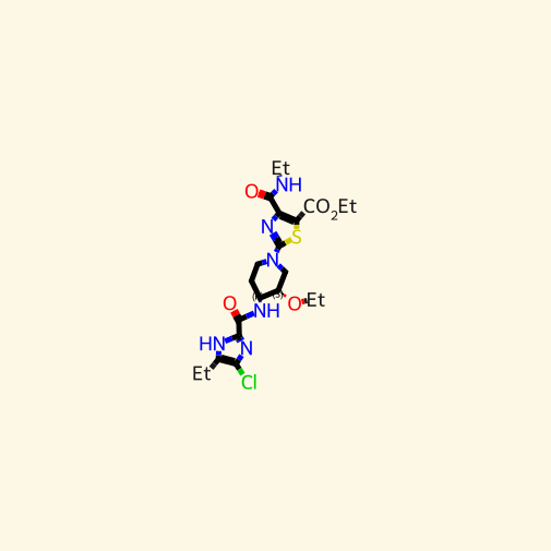 CCNC(=O)c1nc(N2CC[C@@H](NC(=O)c3nc(Cl)c(CC)[nH]3)[C@@H](OCC)C2)sc1C(=O)OCC